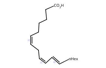 CCCCCC/C=C/C=C\C/C=C\CCCCC(=O)O